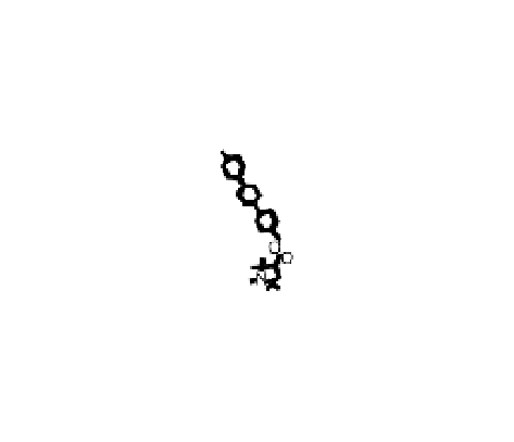 CC1CCC(C2CCC(C3CCC(COC(=O)C4CC(C)(C)N(C)C4(C)C)CC3)CC2)CC1